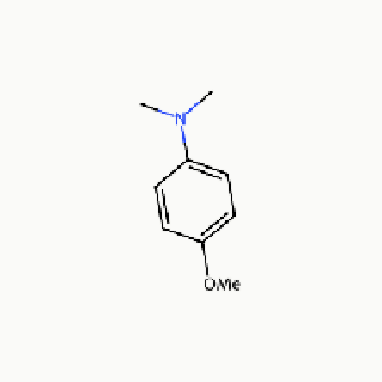 [CH2]Oc1ccc(N(C)C)cc1